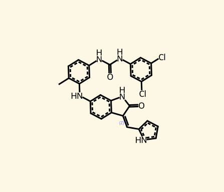 Cc1ccc(NC(=O)Nc2cc(Cl)cc(Cl)c2)cc1Nc1ccc2c(c1)NC(=O)/C2=C\c1ccc[nH]1